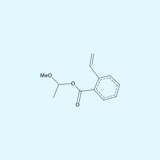 C=Cc1ccccc1C(=O)OC(C)OC